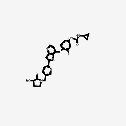 O=C(Nc1ccc(Oc2ccnc3cc(-c4ccc(CN5CCC(O)C5=O)cn4)sc23)c(F)c1)NC1CC1